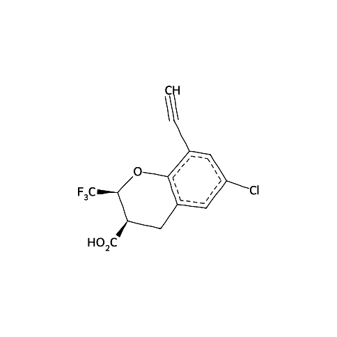 C#Cc1cc(Cl)cc2c1O[C@H](C(F)(F)F)[C@H](C(=O)O)C2